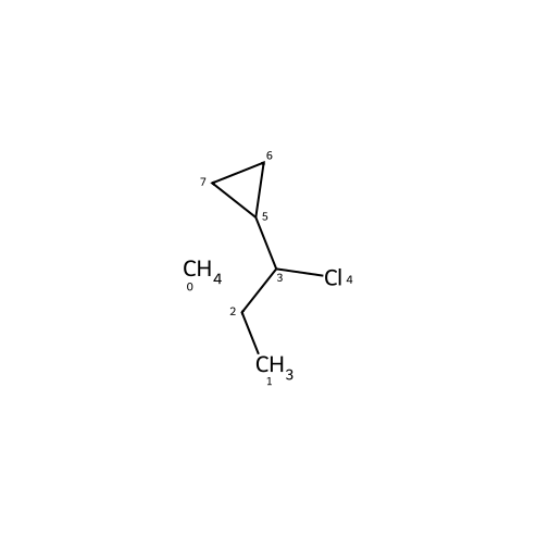 C.CCC(Cl)C1CC1